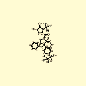 [2H]C([2H])([2H])N1C(=O)[C@@H](F)C[C@H]1C(=O)N1CC[C@@]2(Cc3ccccc3)c3ccc(C(C)(F)C(F)(F)F)cc3CC[C@@H]12